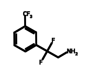 NCC(F)(F)c1cccc(C(F)(F)F)c1